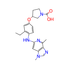 CCc1cc(OC2CCN(C(=O)O)C2)ccc1Nc1cc2c(ncn2C)c(C)n1